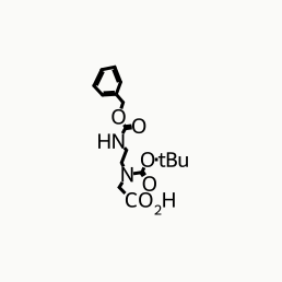 CC(C)(C)OC(=O)N(CCNC(=O)OCc1ccccc1)CC(=O)O